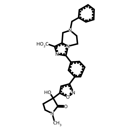 CN1CCC(O)(c2cc(-c3cccc(-c4nc(C(=O)O)c5n4CCN(Cc4ccccc4)C5)c3)no2)C1=O